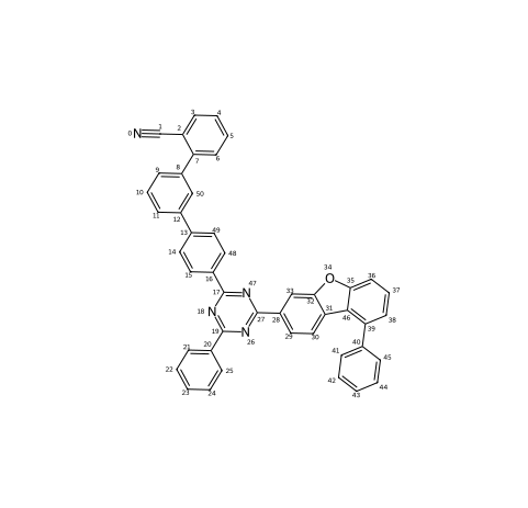 N#Cc1ccccc1-c1cccc(-c2ccc(-c3nc(-c4ccccc4)nc(-c4ccc5c(c4)oc4cccc(-c6ccccc6)c45)n3)cc2)c1